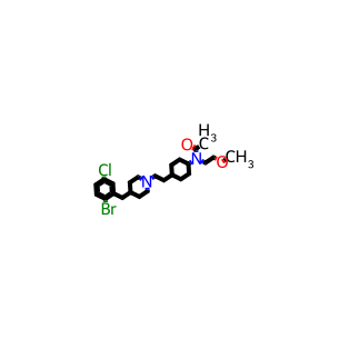 COCCN(C(C)=O)C1CCC(CCN2CCC(Cc3cc(Cl)ccc3Br)CC2)CC1